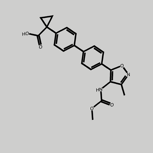 COC(=O)Nc1c(C)noc1-c1ccc(-c2ccc(C3(C(=O)O)CC3)cc2)cc1